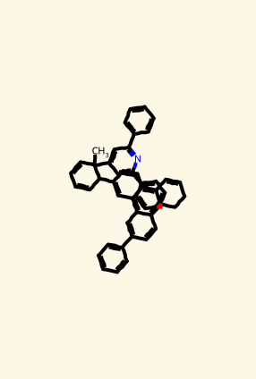 CC1(c2cc(-c3ccccc3)nc(-c3ccccc3)c2)C=CC=CC1c1ccc2c3c(c4ccc(-c5ccccc5)cc4c2c1)CCC=C3